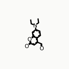 CCN(CC)c1ccc2c(C=O)cc(=O)oc2c1